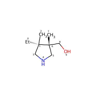 CC[C@@]1(C)CNC[C@@]1(C)CO